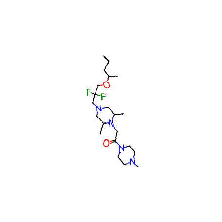 CCCC(C)OCC(F)(F)CN1CC(C)N(CC(=O)N2CCN(C)CC2)C(C)C1